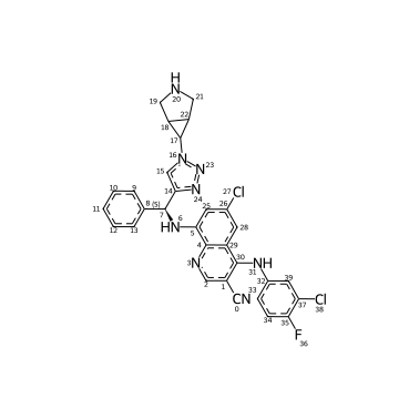 N#Cc1cnc2c(N[C@@H](c3ccccc3)c3cn(C4C5CNCC54)nn3)cc(Cl)cc2c1Nc1ccc(F)c(Cl)c1